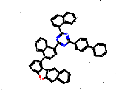 c1ccc(-c2ccc(-c3nc(-c4cccc5ccccc45)nc(-c4ccc(-c5cccc6oc7cc8ccccc8cc7c56)c5ccccc45)n3)cc2)cc1